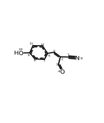 N#CC([C]=O)=Cc1ccc(O)cc1